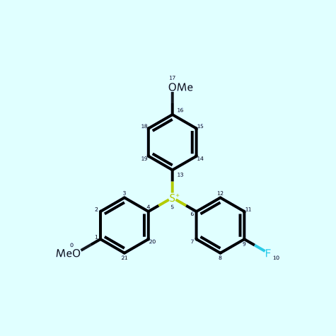 COc1ccc([S+](c2ccc(F)cc2)c2ccc(OC)cc2)cc1